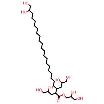 O=C(OCC(O)CO)C(CC(O)CO)C(CCCCCCCCCCCCCCCCCCCCC(O)CO)CC(O)CO